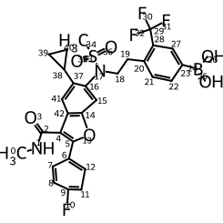 CNC(=O)c1c(-c2ccc(F)cc2)oc2cc(N(CCc3ccc(B(O)O)cc3C(F)(F)F)S(C)(=O)=O)c(C3CC3)cc12